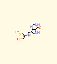 CCSC[C@H](CO)NCc1c[nH]c2c(=O)[nH]cnc12